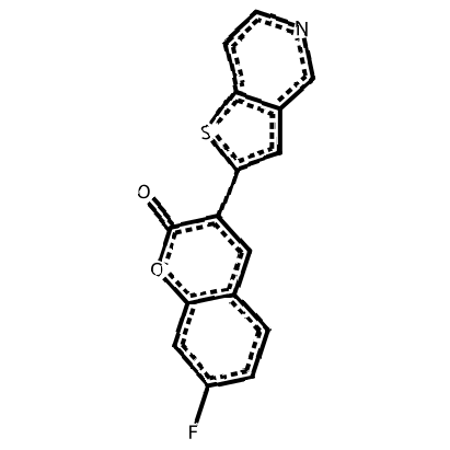 O=c1oc2cc(F)ccc2cc1-c1cc2cnccc2s1